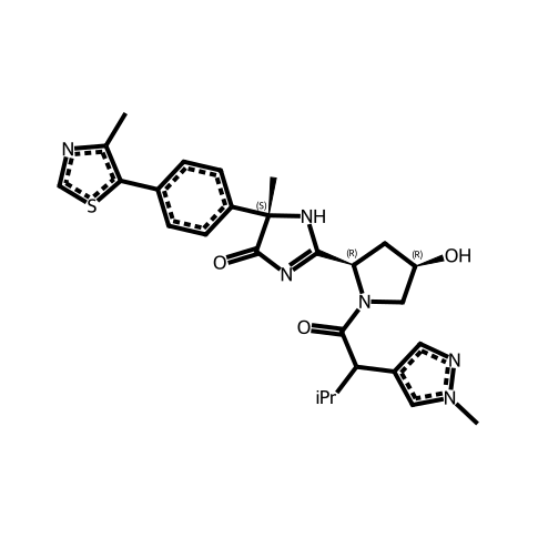 Cc1ncsc1-c1ccc([C@]2(C)NC([C@H]3C[C@@H](O)CN3C(=O)C(c3cnn(C)c3)C(C)C)=NC2=O)cc1